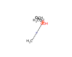 CCCCCCCC/C=C/CCCCCCCCOP(O)Oc1ccc(C(C)(C)c2ccccc2)cc1